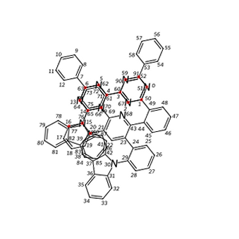 c1ccc(-c2nc(-c3ccccc3)nc(-c3ccccc3-c3cc(-c4ccccc4-n4c5ccccc5c5ccccc54)c(-c4ccccc4-c4nc(-c5ccccc5)nc(-c5ccccc5)n4)nc3-c3ccccc3-n3c4ccccc4c4ccccc43)n2)cc1